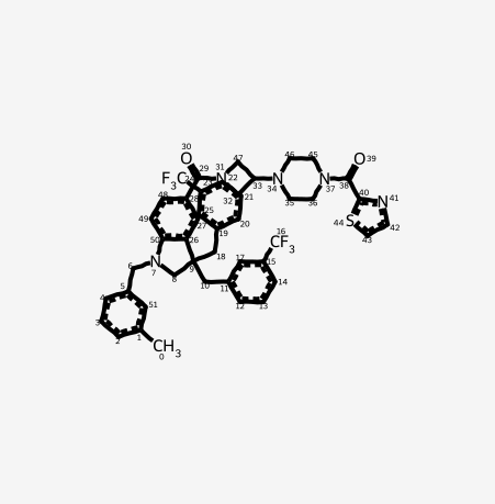 Cc1cccc(CN2CC(Cc3cccc(C(F)(F)F)c3)(Cc3cccc(C(F)(F)F)c3)c3cc(C(=O)N4CC(N5CCN(C(=O)c6nccs6)CC5)C4)ccc32)c1